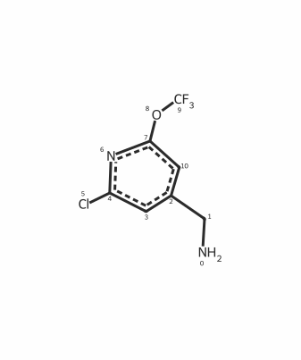 NCc1cc(Cl)nc(OC(F)(F)F)c1